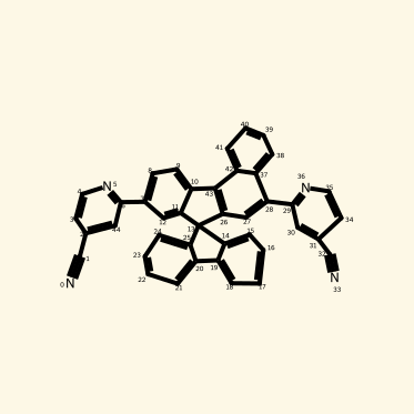 N#Cc1ccnc(-c2ccc3c(c2)C2(c4ccccc4-c4ccccc42)c2cc(-c4cc(C#N)ccn4)c4ccccc4c2-3)c1